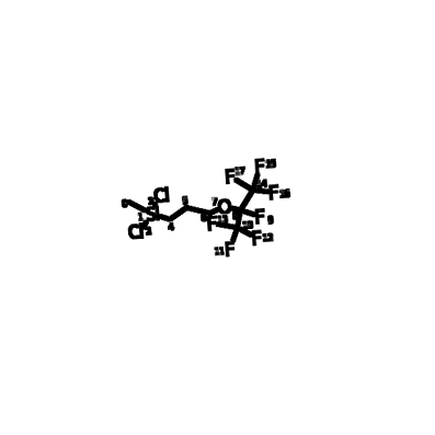 C[Si](Cl)(Cl)CCCOC(F)(C(F)(F)F)C(F)(F)F